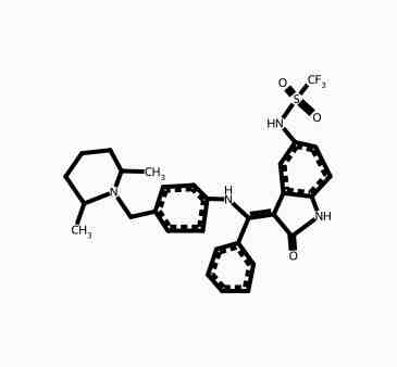 CC1CCCC(C)N1Cc1ccc(NC(=C2C(=O)Nc3ccc(NS(=O)(=O)C(F)(F)F)cc32)c2ccccc2)cc1